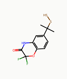 CC(C)(SS)c1ccc2c(c1)NC(=O)C(F)(F)O2